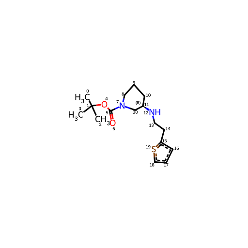 CC(C)(C)OC(=O)N1CCC[C@@H](NCCc2cccs2)C1